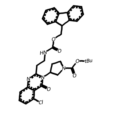 CC(C)(C)OC(=O)N1CCC(n2c(CCNC(=O)OCC3c4ccccc4-c4ccccc43)nc3cccc(Cl)c3c2=O)C1